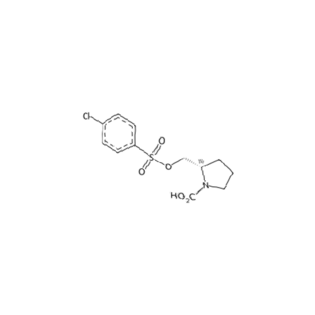 O=C(O)N1CCC[C@H]1COS(=O)(=O)c1ccc(Cl)cc1